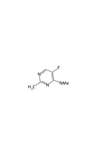 CNc1nc(C)ncc1F